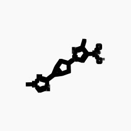 Cc1nn(C2CC3C(C2)C3c2ncn(C)n2)cc1[N+](=O)[O-]